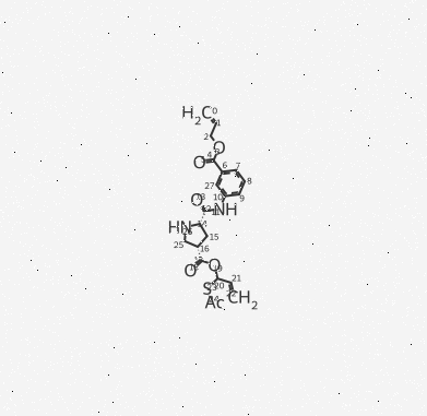 C=CCOC(=O)c1cccc(NC(=O)[C@@H]2C[C@H](C(=O)OC(C=C)SC(C)=O)CN2)c1